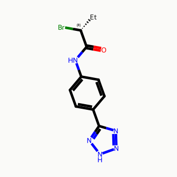 CC[C@@H](Br)C(=O)Nc1ccc(-c2nn[nH]n2)cc1